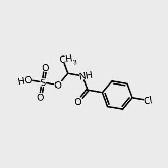 CC(NC(=O)c1ccc(Cl)cc1)OS(=O)(=O)O